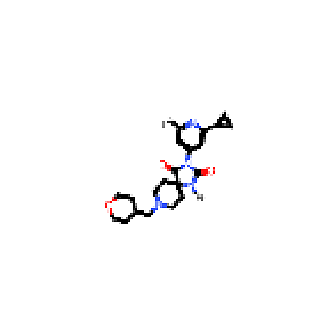 CCN1C(=O)N(c2cc(C3CC3)nc(C(F)(F)F)c2)C(=O)C12CCN(CC1CCOCC1)CC2